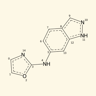 c1coc(Nc2ccc3cn[nH]c3c2)n1